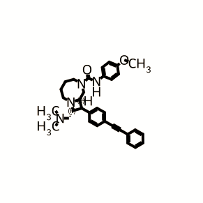 COc1ccc(NC(=O)N2CCCCN3[C@@H](CN(C)C)C(c4ccc(C#Cc5ccccc5)cc4)[C@@H]3C2)cc1